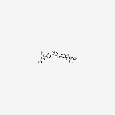 O[C@@H]1CCCC[C@H]1Nc1nc2ccc(Oc3ccnc(-c4ccc(-c5nc(C(F)(F)F)c[nH]5)cc4)c3)cc2s1